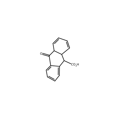 O=C1c2ccccc2C(C(=O)O)C2C=CC=CC12